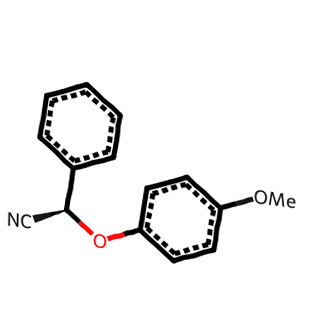 COc1ccc(O[C@@H](C#N)c2ccccc2)cc1